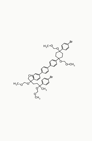 CCC(CCC(C)(OCOC)c1ccc(Br)cc1)(OCOC)c1ccc(-c2ccc(-c3ccc(C4(OCOC)CCC(OCOC)(c5ccc(Br)cc5)CC4)cc3)cc2)cc1